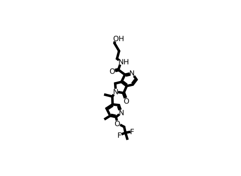 Cc1cc(C(C)N2Cc3c(ccnc3C(=O)NCCCO)C2=O)cnc1OCC(C)(F)F